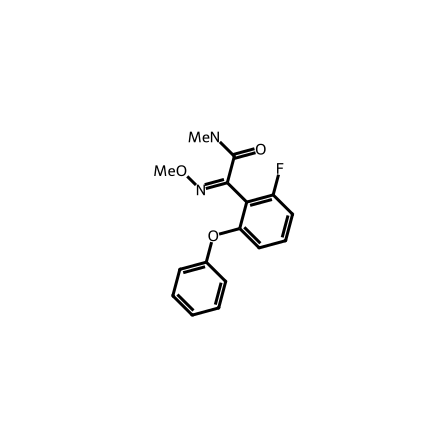 CNC(=O)/C(=N\OC)c1c(F)cccc1Oc1ccccc1